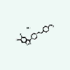 Cl.NC1CCC(CCN2CCN(c3noc4cc(Cl)c(F)cc34)CC2)CC1